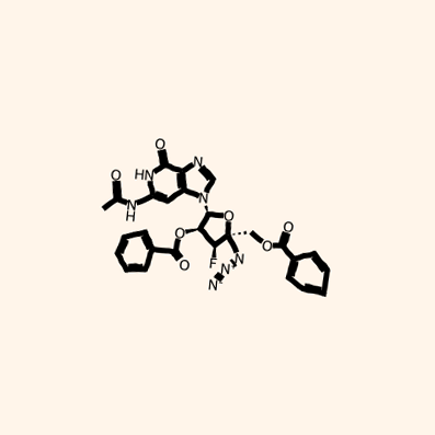 CC(=O)Nc1cc2c(ncn2[C@@H]2O[C@@](COC(=O)c3ccccc3)(N=[N+]=[N-])[C@@H](F)[C@H]2OC(=O)c2ccccc2)c(=O)[nH]1